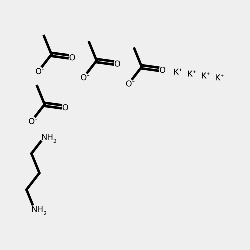 CC(=O)[O-].CC(=O)[O-].CC(=O)[O-].CC(=O)[O-].NCCCN.[K+].[K+].[K+].[K+]